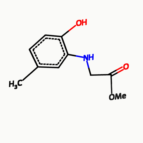 COC(=O)CNc1cc(C)ccc1O